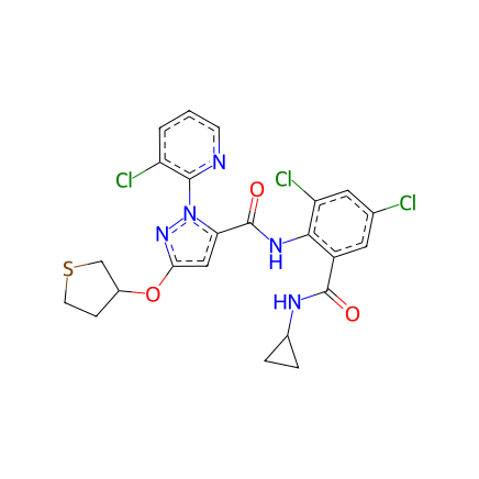 O=C(NC1CC1)c1cc(Cl)cc(Cl)c1NC(=O)c1cc(OC2CCSC2)nn1-c1ncccc1Cl